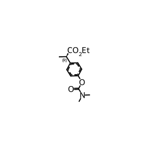 CCOC(=O)[C@H](C)c1ccc(OC(=O)N(C)C)cc1